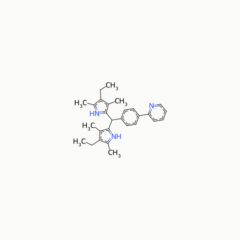 CCc1c(C)[nH]c(C(c2ccc(-c3ccccn3)cc2)c2[nH]c(C)c(CC)c2C)c1C